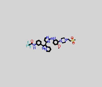 COc1ccc(Nc2nccc(-c3c(-c4cccc(NC(=O)C(F)(F)F)c4)nn4ccccc34)n2)cc1N1CCN(CCS(C)(=O)=O)CC1